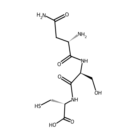 NC(=O)C[C@H](N)C(=O)N[C@@H](CO)C(=O)N[C@@H](CS)C(=O)O